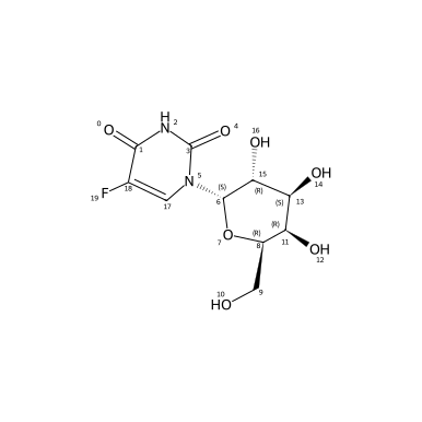 O=c1[nH]c(=O)n([C@H]2O[C@H](CO)[C@H](O)[C@H](O)[C@H]2O)cc1F